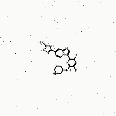 Cc1nnc(-c2ccn3c(-c4nc(NC5CCCNC5)c(F)cc4F)cnc3c2)[nH]1